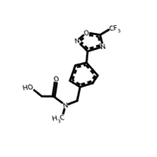 CN(Cc1ccc(-c2noc(C(F)(F)F)n2)cc1)C(=O)CO